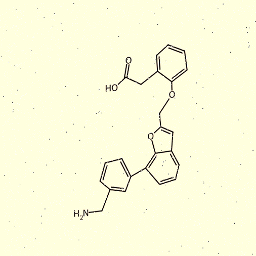 NCc1cccc(-c2cccc3cc(COc4ccccc4CC(=O)O)oc23)c1